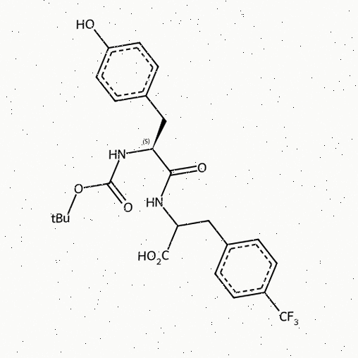 CC(C)(C)OC(=O)N[C@@H](Cc1ccc(O)cc1)C(=O)NC(Cc1ccc(C(F)(F)F)cc1)C(=O)O